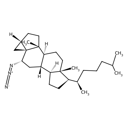 CC(C)CCC[C@@H](C)[C@H]1CC[C@H]2[C@@H]3C[C@H](N=[N+]=[N-])[C@]45C[C@@H]4CC[C@]5(C)[C@H]3CC[C@]12C